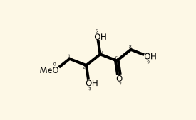 COCC(O)C(O)C(=O)CO